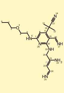 CCCOCCNc1cc(C(C)(C)C#N)c(C=N)c(NC/C(N)=C/C=N)n1